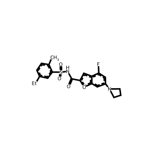 CCc1ccc(C)c(S(=O)(=O)NC(=O)c2cc3c(F)cc(N4CCC4)cc3o2)c1